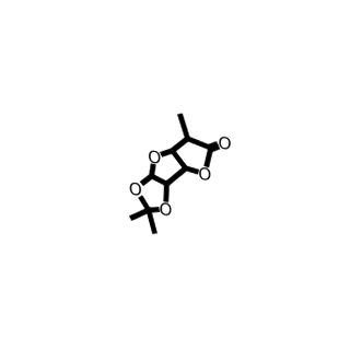 CC1C(=O)OC2C3OC(C)(C)OC3OC12